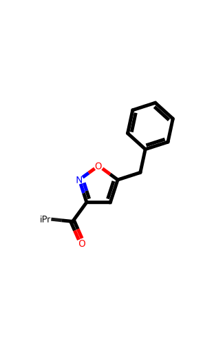 CC(C)C(=O)c1cc(Cc2ccccc2)on1